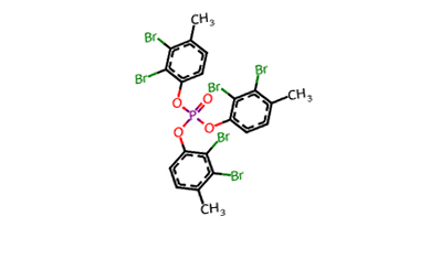 Cc1ccc(OP(=O)(Oc2ccc(C)c(Br)c2Br)Oc2ccc(C)c(Br)c2Br)c(Br)c1Br